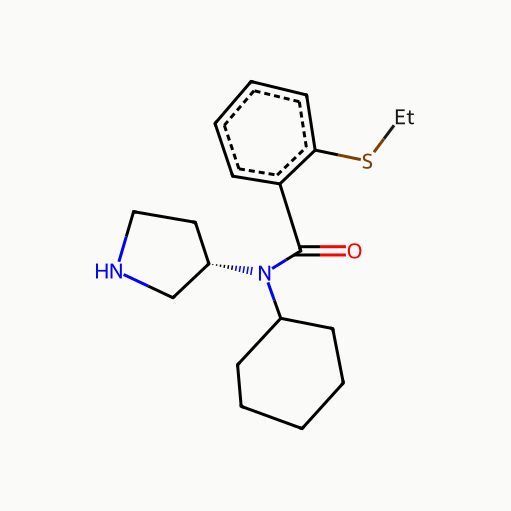 CCSc1ccccc1C(=O)N(C1CCCCC1)[C@H]1CCNC1